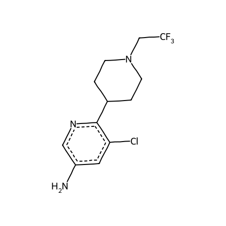 Nc1cnc(C2CCN(CC(F)(F)F)CC2)c(Cl)c1